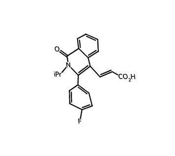 CC(C)n1c(-c2ccc(F)cc2)c(C=CC(=O)O)c2ccccc2c1=O